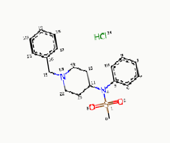 CS(=O)(=O)N(c1ccccc1)C1CCN(Cc2ccccc2)CC1.Cl